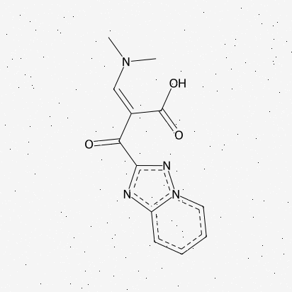 CN(C)C=C(C(=O)O)C(=O)c1nc2ccccn2n1